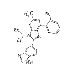 CCC(CC)n1c(-c2ccc3[nH]cnc3c2)nc2c(-c3ccccc3Br)cc(C)cc21